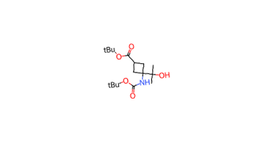 CC(C)(C)OC(=O)NC1(C(C)(C)O)CC(C(=O)OC(C)(C)C)C1